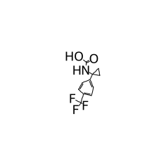 O=C(O)NC1(c2ccc(C(F)(F)F)cc2)CC1